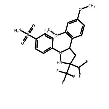 COc1ccc(C2CC(C(F)F)(C(F)(F)F)NN2c2ccc(S(N)(=O)=O)cc2)c(OC)c1